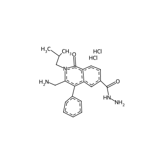 CC(C)Cn1c(CN)c(-c2ccccc2)c2cc(C(=O)NN)ccc2c1=O.Cl.Cl